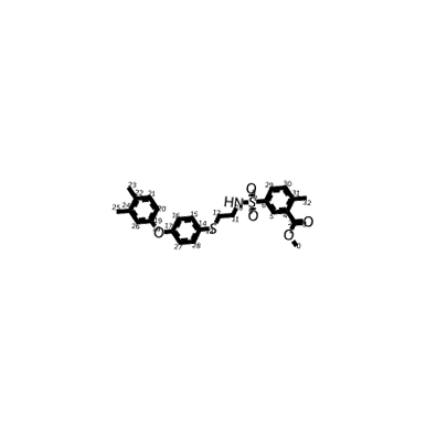 COC(=O)c1cc(S(=O)(=O)NCCSc2ccc(Oc3ccc(C)c(C)c3)cc2)ccc1C